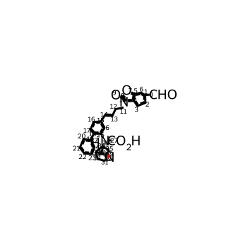 O=Cc1ccc2c(c1)oc(=O)n2CCC=Cc1ccc(-c2ccccc2)c(N(C(=O)O)[C@H]2CN3CCC2CC3)c1